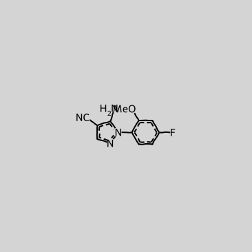 COc1cc(F)ccc1-n1ncc(C#N)c1N